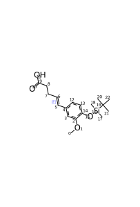 COc1cc(/C=C/CCC(=O)O)ccc1O[Si](C)(C)C(C)(C)C